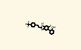 Oc1ccccc1-c1cc2nc(/C=C/c3ccc(C(F)(F)F)cc3)[nH]c2cc1F